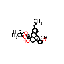 C=CCc1ccc2c(c1)C[C@]13CCC4(C[C@]1(O)CC[C@@H]1C3C2C[C@]2(C)C(=O)CC[C@@H]12)OCC(C)(C)CO4